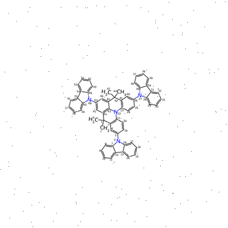 CC1(C)c2cc(-n3c4ccccc4c4ccccc43)ccc2N2c3ccc(-n4c5ccccc5c5ccccc54)cc3C(C)(C)c3cc(-n4c5ccccc5c5ccccc54)cc1c32